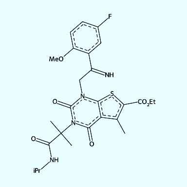 CCOC(=O)c1sc2c(c1C)c(=O)n(C(C)(C)C(=O)NC(C)C)c(=O)n2CC(=N)c1cc(F)ccc1OC